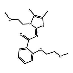 COCCOc1ccccc1C(=O)/N=c1/sc(C)c(C)n1CCOC